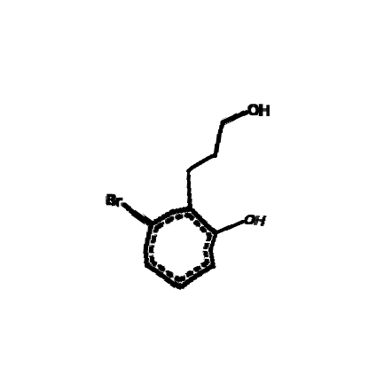 OCCCc1c(O)cccc1Br